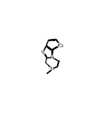 CN1CCn2c(nc3ccoc32)C1